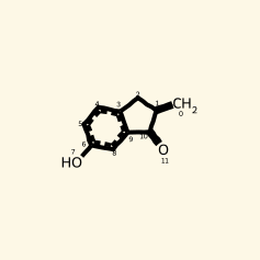 C=C1Cc2ccc(O)cc2C1=O